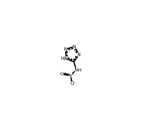 O=[N+]([O-])Nc1nnn[nH]1